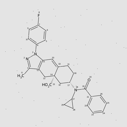 Cc1nn(-c2ccc(F)cc2)c2c1C[C@]1(C(=O)O)C[C@@H](N(C(=O)c3ccccc3)C3CC3)CCC1=C2